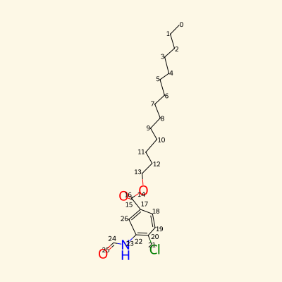 CCCCCCCCCCCCCCOC(=O)c1ccc(Cl)c(NC=O)c1